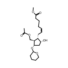 COC(=O)CCC/C=C\C[C@H]1[C@H](COC(C)=O)[C@@H](OC2CCCCO2)C[C@H]1O